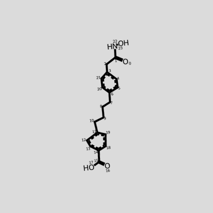 O=C(Cc1ccc(CCCCc2ccc(C(=O)O)cc2)cc1)NO